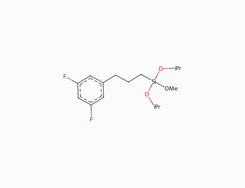 CO[Si](CCCc1cc(F)cc(F)c1)(OC(C)C)OC(C)C